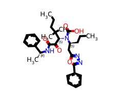 CCC[C@@H](Cc1nnc(-c2ccccc2)o1)N(C(=O)O)[C@H](C(=O)C(=O)N[C@H](C)c1ccccc1)C(C)(C)CCC